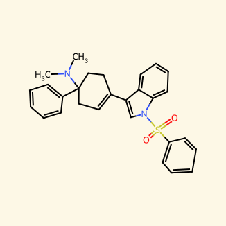 CN(C)C1(c2ccccc2)CC=C(c2cn(S(=O)(=O)c3ccccc3)c3ccccc23)CC1